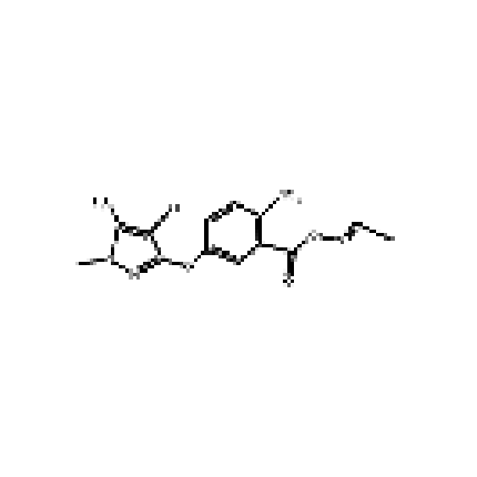 [CH2]C=NOC(=O)c1cc(Oc2nn(C)c(C(F)(F)F)c2Cl)ccc1[N+](=O)[O-]